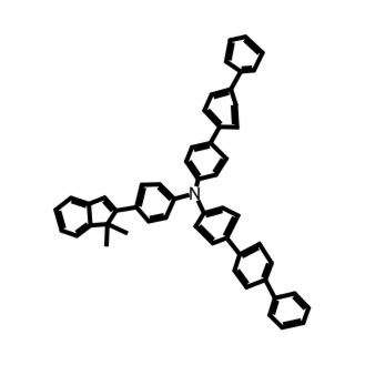 CC1(C)C(c2ccc(N(c3ccc(-c4ccc(-c5ccccc5)cc4)cc3)c3ccc(-c4ccc(-c5ccccc5)cc4)cc3)cc2)=Cc2ccccc21